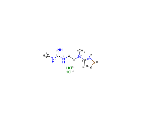 CNC(=N)NCCN(C)c1ccsn1.Cl.Cl